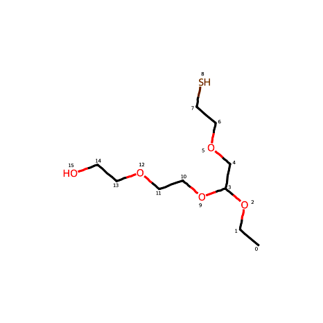 CCOC(COCCS)OCCOCCO